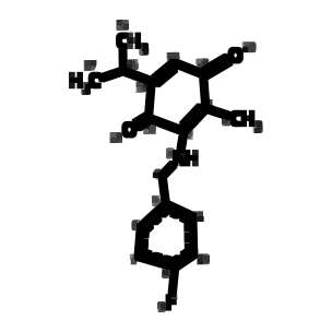 CC1=C(NCc2ccc(F)cc2)C(=O)C(C(C)C)=CC1=O